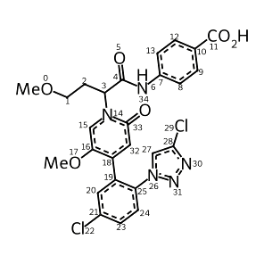 COCCC(C(=O)Nc1ccc(C(=O)O)cc1)n1cc(OC)c(-c2cc(Cl)ccc2-n2cc(Cl)nn2)cc1=O